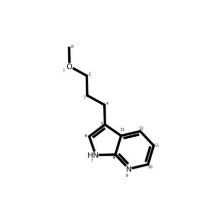 COCCCc1c[nH]c2ncccc12